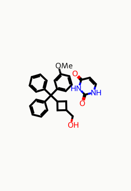 COc1cccc(C(c2ccccc2)(c2ccccc2)C2CC(CO)C2)c1.O=c1cc[nH]c(=O)[nH]1